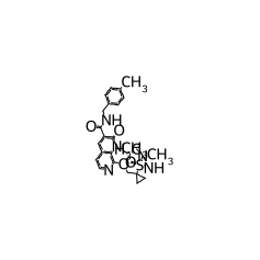 Cc1ccc(CNC(=O)c2cc3ccnc(OCC4(S(=N)(=O)N(C)C)CC4)c3n(C)c2=O)cc1